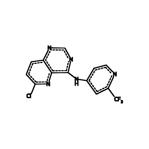 FC(F)(F)c1cc(Nc2ncnc3ccc(Cl)nc23)ccn1